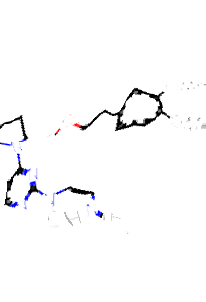 C=N/C=C\N(C)c1nccc(N2CCC[C@@H]2COCCc2ccc(OC)c(OC)c2)n1